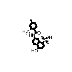 Cc1ccc(C(=O)Nc2ccc3c(O)ccc(S(=O)(=O)O)c3c2)c(N)c1